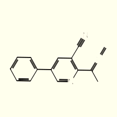 C=C=C(C)c1ncc(-c2ccccc2)cc1C#N